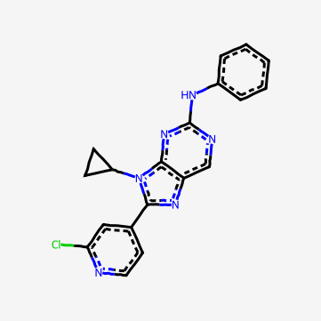 Clc1cc(-c2nc3cnc(Nc4ccccc4)nc3n2C2CC2)ccn1